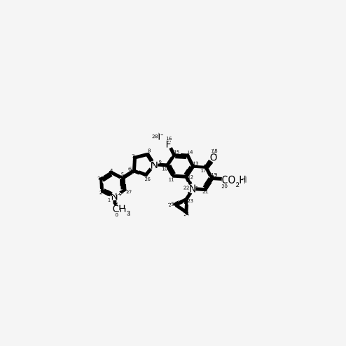 C[n+]1cccc(C2CCN(c3cc4c(cc3F)c(=O)c(C(=O)O)cn4C3CC3)C2)c1.[I-]